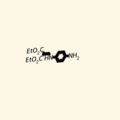 CCOC(=O)C(=CNc1ccc(N)cc1)C(=O)OCC